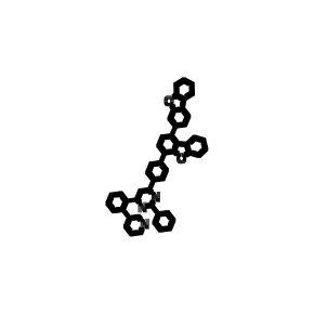 c1ccc(-c2nc(-c3ccc(-c4ccc(-c5ccc6c(c5)oc5ccccc56)c5c4oc4ccccc45)cc3)cc(-c3ccccc3-c3cccnc3)n2)cc1